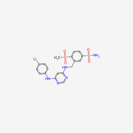 CS(=O)(=O)c1ccc(S(N)(=O)=O)cc1CNc1cc(Nc2ccc(Cl)cc2)ncn1